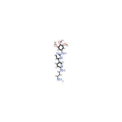 COc1cc(Nc2nccc(-c3ccc(NCCCN)nc3)n2)cc(OC)c1OC